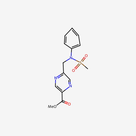 COC(=O)c1cnc(CN(c2ccccc2)S(C)(=O)=O)cn1